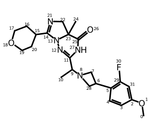 COc1ccc(C2CN(C(C)C3=NN4C(C5CCOCC5)=NCC4(C)C(=O)N3)C2)c(F)c1